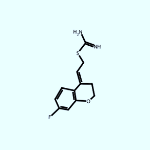 N=C(N)SC/C=C1\CCOc2cc(F)ccc21